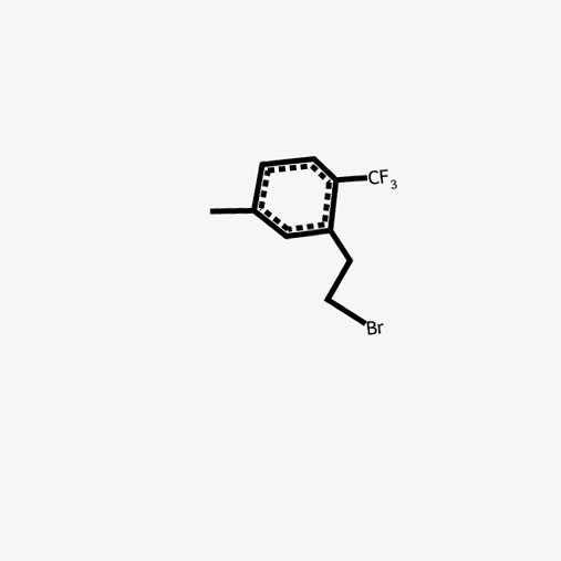 Cc1ccc(C(F)(F)F)c(CCBr)c1